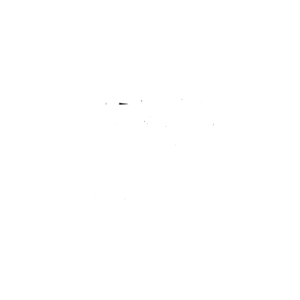 C[C@H](C=O)N(c1cc(Cl)ccc1Cl)S(=O)(=O)c1ccc(Cl)cc1